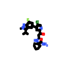 CC(C)c1c2cc(-c3cc(C(=O)CCNC4(C(N)=O)CCCCC4)ncc3Cl)cc(F)c2nn1C